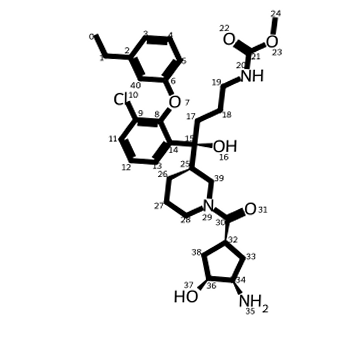 CCc1cccc(Oc2c(Cl)cccc2[C@](O)(CCCNC(=O)OC)[C@@H]2CCCN(C(=O)[C@H]3C[C@@H](N)[C@@H](O)C3)C2)c1